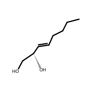 CCCC/C=C/[C@H](O)CO